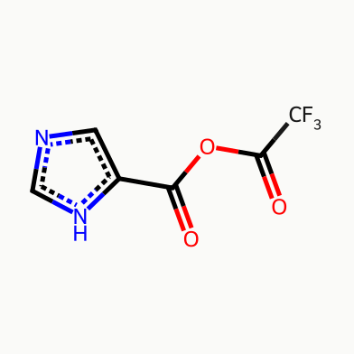 O=C(OC(=O)C(F)(F)F)c1cnc[nH]1